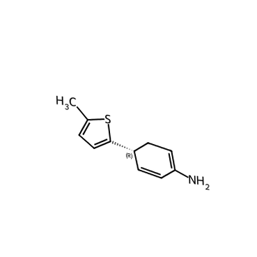 Cc1ccc([C@H]2C=CC(N)=CC2)s1